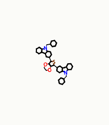 c1ccc(Cn2c3ccccc3c3cc(-c4sc(-c5ccc6c(c5)c5ccccc5n6Cc5ccccc5)c5c4OCCO5)ccc32)cc1